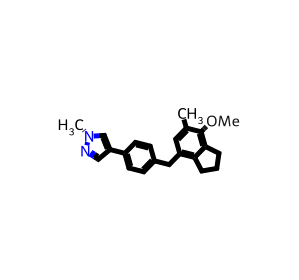 COc1c(C)cc(Cc2ccc(-c3cnn(C)c3)cc2)c2c1CCC2